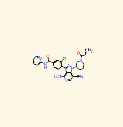 C=CC(=O)N1CCCC(n2nc(-c3ccc(C(=O)Nc4ccccn4)cc3Cl)c3c(N)ncc(C#N)c32)C1